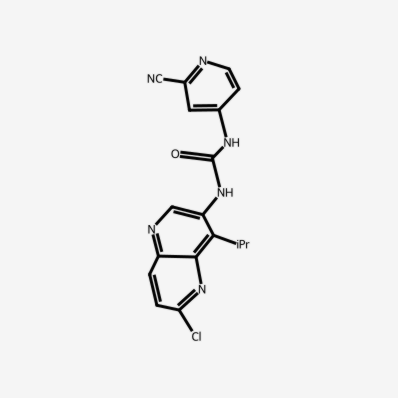 CC(C)c1c(NC(=O)Nc2ccnc(C#N)c2)cnc2ccc(Cl)nc12